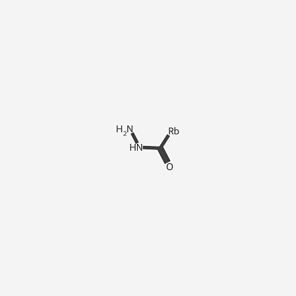 NN[C](=O)[Rb]